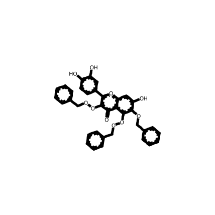 O=c1c(OOCc2ccccc2)c(-c2ccc(O)c(O)c2)oc2cc(O)c(OCc3ccccc3)c(OOCc3ccccc3)c12